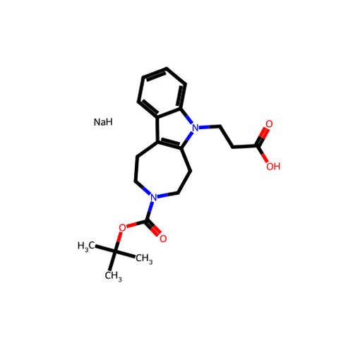 CC(C)(C)OC(=O)N1CCc2c(n(CCC(=O)O)c3ccccc23)CC1.[NaH]